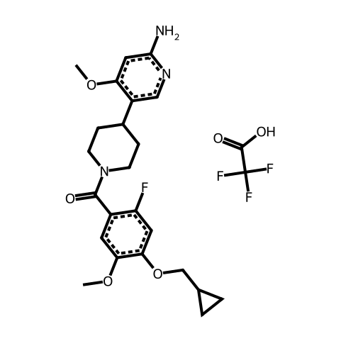 COc1cc(C(=O)N2CCC(c3cnc(N)cc3OC)CC2)c(F)cc1OCC1CC1.O=C(O)C(F)(F)F